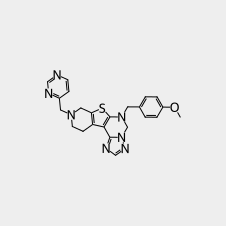 COc1ccc(CN2Cn3ncnc3-c3c2sc2c3CCN(Cc3ccncn3)C2)cc1